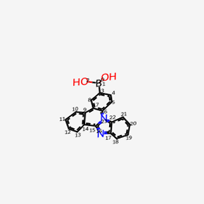 OB(O)c1ccc2c(c1)c1ccccc1c1nc3ccccc3n21